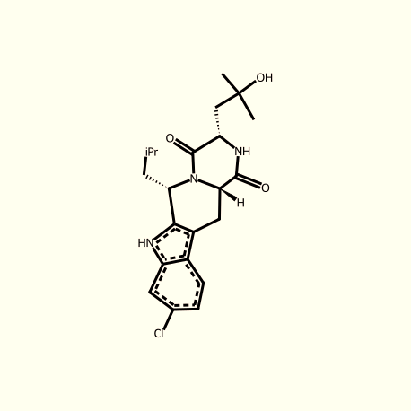 CC(C)C[C@H]1c2[nH]c3cc(Cl)ccc3c2C[C@H]2C(=O)N[C@@H](CC(C)(C)O)C(=O)N21